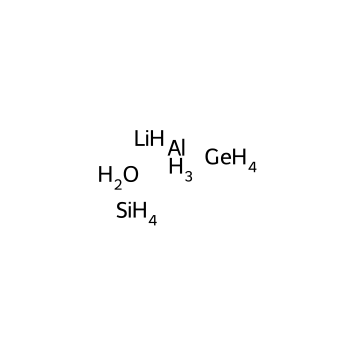 O.[AlH3].[GeH4].[LiH].[SiH4]